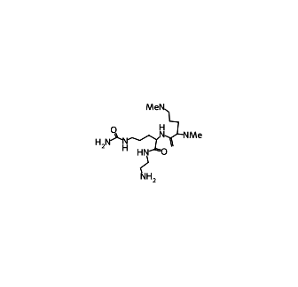 C=C(NC(CCCNC(N)=O)C(=O)NCCN)C(CCCNC)NC